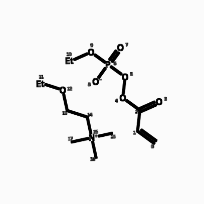 C=CC(=O)OOP(=O)([O-])OCC.CCOCC[N+](C)(C)C